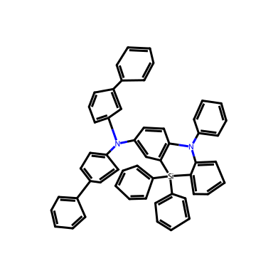 c1ccc(-c2ccc(N(c3cccc(-c4ccccc4)c3)c3ccc4c(c3)[Si](c3ccccc3)(c3ccccc3)c3ccccc3N4c3ccccc3)cc2)cc1